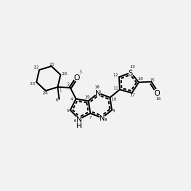 CC1(C(=O)c2c[nH]c3ncc(-c4csc(C=O)c4)nc23)CCCCC1